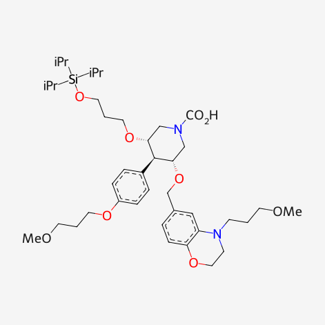 COCCCOc1ccc([C@@H]2[C@@H](OCc3ccc4c(c3)N(CCCOC)CCO4)CN(C(=O)O)C[C@H]2OCCCO[Si](C(C)C)(C(C)C)C(C)C)cc1